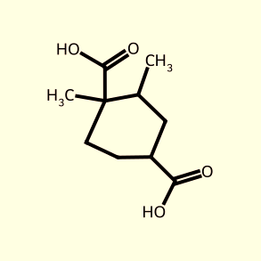 CC1CC(C(=O)O)CCC1(C)C(=O)O